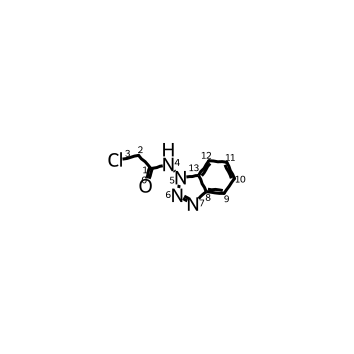 O=C(CCl)Nn1nnc2ccccc21